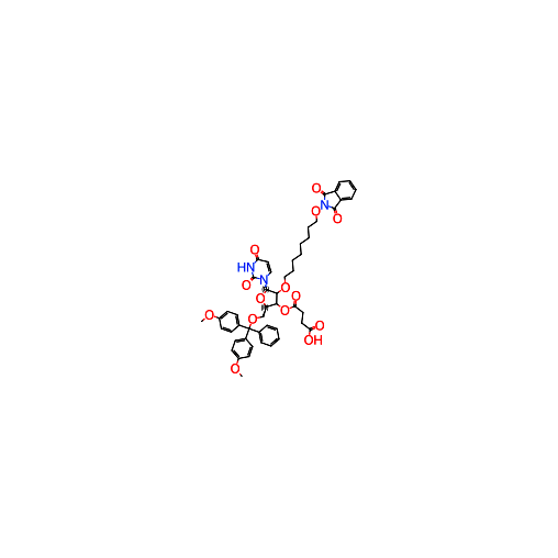 COc1ccc(C(OC[C@H]2O[C@@H](n3ccc(=O)[nH]c3=O)C(OCCCCCCCCON3C(=O)c4ccccc4C3=O)C2OC(=O)CCC(=O)O)(c2ccccc2)c2ccc(OC)cc2)cc1